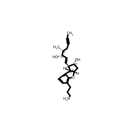 CC#CC[C@@H](C)[C@@H](O)/C=C/[C@@H]1[C@H]2c3cccc(CCCN)c3O[C@H]2C[C@H]1O